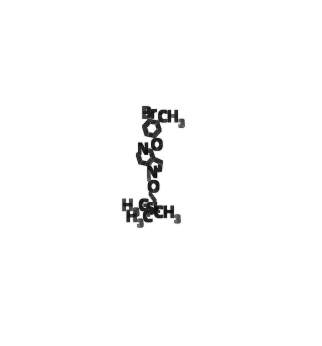 Cc1cc(Oc2nccc3c2ccn3COCC[Si](C)(C)C)ccc1Br